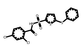 O=C(NS(=O)(=O)c1ccc(Sc2ccccc2)s1)c1ccc(Cl)cc1Cl